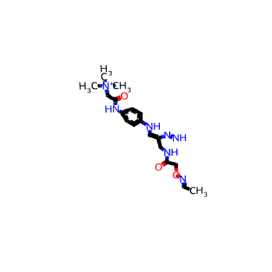 C/C=N/OCC(=O)NC/C(=C/Nc1ccc(NC(=O)C[N+](C)(C)C)cc1)N=N